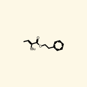 C/C=C(/C(=O)OCCc1ccccc1)C(C)(C)C